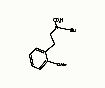 COc1ccccc1CCN(C(=O)O)C(C)(C)C